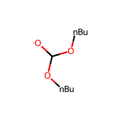 CCCCOC([O])OCCCC